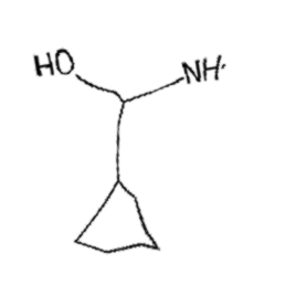 [NH]C(O)C1CC1